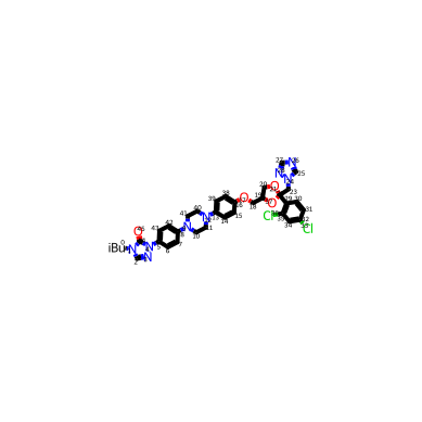 CCC(C)n1cnn(-c2ccc(N3CCN(c4ccc(OCC5COC(Cn6cncn6)(c6ccc(Cl)cc6Cl)O5)cc4)CC3)cc2)c1=O